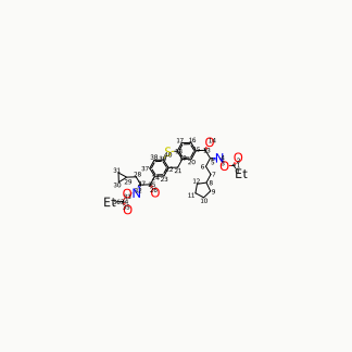 CCC(=O)O/N=C(\CCC1CCCC1)C(=O)c1ccc2c(c1)Cc1cc(C(=O)/C(CC3CC3)=N/OC(=O)CC)ccc1S2